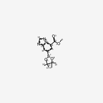 COC(=O)c1cc(B2OC(C)(C)C(C)(C)O2)cc2ncnn12